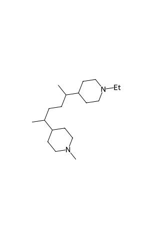 CCN1CCC(C(C)CCC(C)C2CCN(C)CC2)CC1